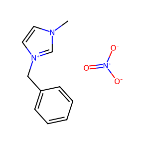 Cn1cc[n+](Cc2ccccc2)c1.O=[N+]([O-])[O-]